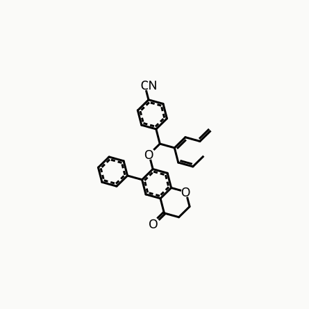 C=C/C=C(\C=C/C)C(Oc1cc2c(cc1-c1ccccc1)C(=O)CCO2)c1ccc(C#N)cc1